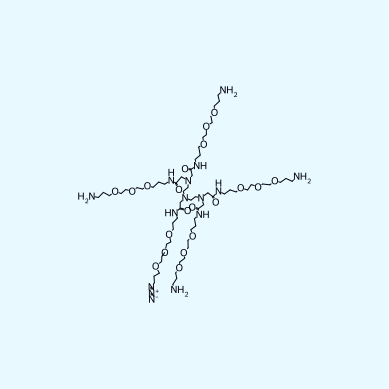 [N-]=[N+]=NCCCOCCOCCOCCCNC(=O)CN(CCN(CC(=O)NCCCOCCOCCOCCCN)CC(=O)NCCCOCCOCCOCCCN)CCN(CC(=O)NCCCOCCOCCOCCCN)CC(=O)NCCCOCCOCCOCCCN